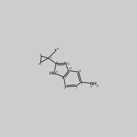 Nc1ccc2[nH]c(C3(F)CC3)nc2c1